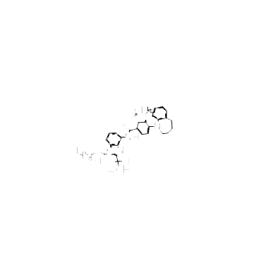 COC1C(=C=O)C(N2CCCCc3ccccc32)=CC=C1C(=O)Nc1cccc2c1nc(C(C)(C)C)n2CO[SiH](C)C